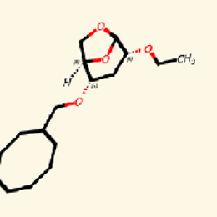 CCO[C@@H]1C[C@H](OCC2CCCCCCC2)[C@H]2COC1O2